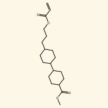 C=CC(=O)OCCCC1CCC(C2CCC(C(=O)OC)CC2)CC1